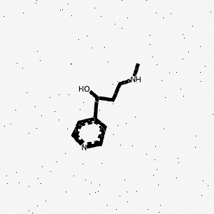 CNCCC(O)c1ccncc1